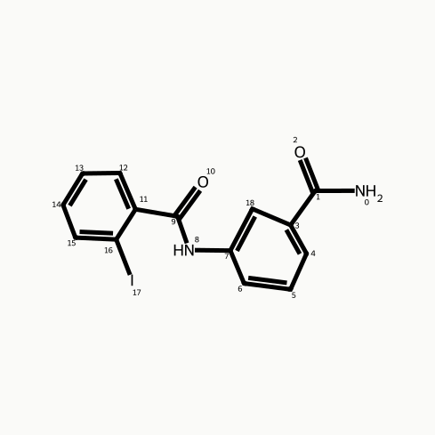 NC(=O)c1cccc(NC(=O)c2ccccc2I)c1